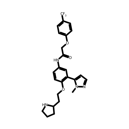 Cn1nccc1-c1cc(NC(=O)COc2ccc(C(F)(F)F)cc2)ccc1OCCC1CCCN1